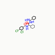 N=C(NC(=O)C(NC(O)c1ccc(Cl)c(Cl)c1)C1CCCCC1)c1ccccc1